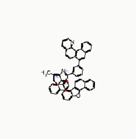 C\C1=C(c2cccc3ccccc23)/N=C(c2cccc(-c3cc4ccccc4c4c3ccc3cccnc34)c2)\N=C(\c2cccc3oc4c5ccccc5ccc4c23)CC1